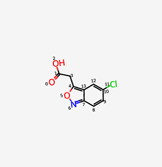 O=C(O)Cc1onc2ccc(Cl)cc12